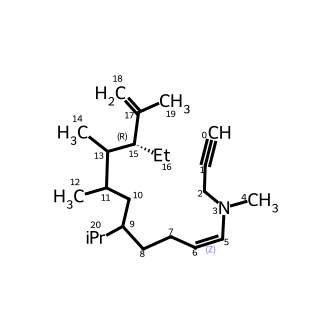 C#CCN(C)/C=C\CCC(CC(C)C(C)[C@@H](CC)C(=C)C)C(C)C